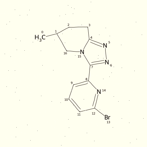 CC1CCc2nnc(-c3cccc(Br)n3)n2C1